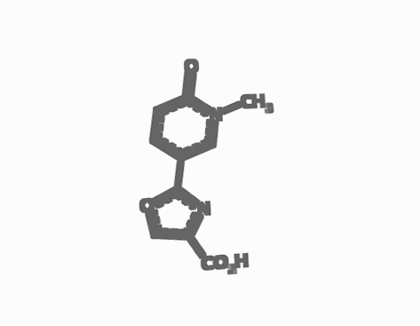 Cn1cc(-c2nc(C(=O)O)co2)ccc1=O